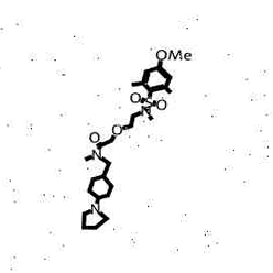 COc1cc(C)c(S(=O)(=O)N(C)CCOCC(=O)N(C)CC2CCC(N3CCCC3)CC2)c(C)c1